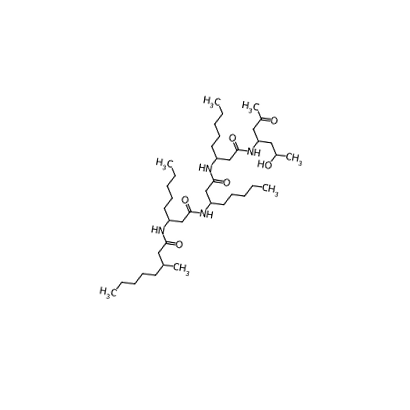 CCCCCC(C)CC(=O)NC(CCCCC)CC(=O)NC(CCCCC)CC(=O)NC(CCCCC)CC(=O)NC(CC(C)=O)CC(C)O